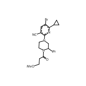 COCCC(=O)N1CCN(c2nc(C3CC3)c(Br)cc2C#N)CC1C(C)C